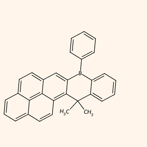 CC1(C)c2ccccc2B(c2ccccc2)c2cc3ccc4cccc5ccc(c21)c3c45